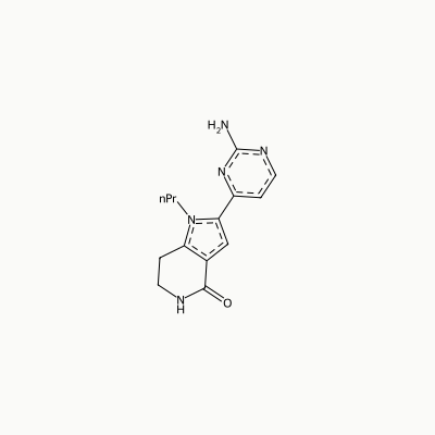 CCCn1c(-c2ccnc(N)n2)cc2c1CCNC2=O